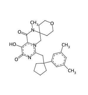 Cc1cc(C)cc(C2(Cc3nc(=O)c(O)c4n3CC3(CCOCC3)N(C)C4=O)CCCC2)c1